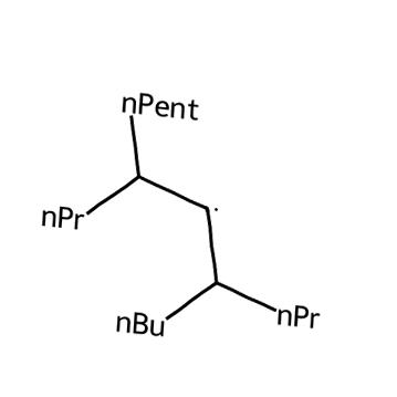 CCCCCC([CH]C(CCC)CCCC)CCC